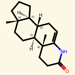 C[C@@]12CCC[C@H]1[C@@H]1CC=C3NC(=O)CC[C@]3(C)[C@H]1CC2